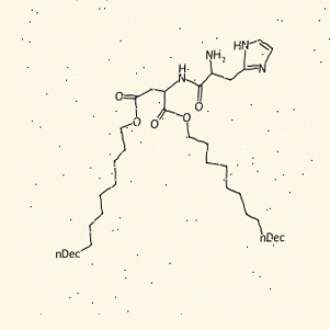 CCCCCCCCCCCCCCCCCCOC(=O)CC(NC(=O)C(N)Cc1ncc[nH]1)C(=O)OCCCCCCCCCCCCCCCCCC